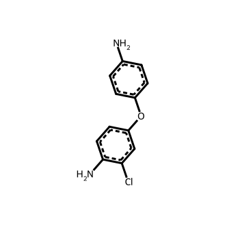 Nc1ccc(Oc2ccc(N)c(Cl)c2)cc1